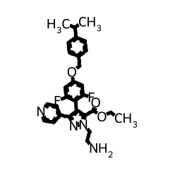 CCOC(=O)c1c(-c2c(F)cc(OCc3ccc(C(C)C)cc3)cc2F)c(-c2ccncc2)nn1CCN